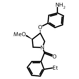 CCc1ccccc1C(=O)N1C[C@@H](OC)[C@H](Oc2cccc(N)c2)C1